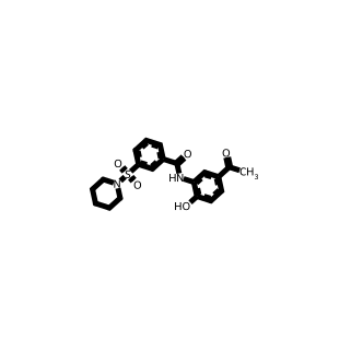 CC(=O)c1ccc(O)c(NC(=O)c2cccc(S(=O)(=O)N3CCCCC3)c2)c1